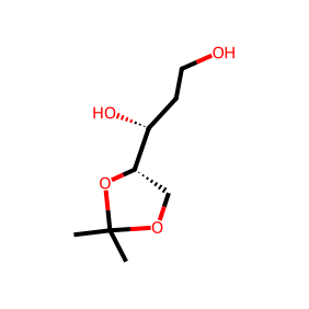 CC1(C)OC[C@@H]([C@H](O)CCO)O1